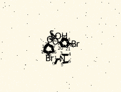 CCN(CC)CC.OP(=S)(Oc1ccc(Br)cc1)Oc1ccc(Br)cc1